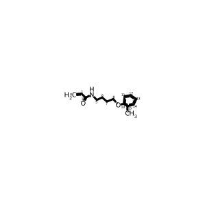 C=CC(=O)NCCCCOc1ccccc1C